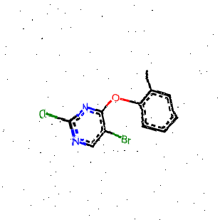 Cc1ccccc1Oc1nc(Cl)ncc1Br